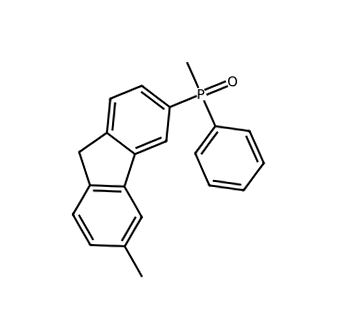 Cc1ccc2c(c1)-c1cc(P(C)(=O)c3ccccc3)ccc1C2